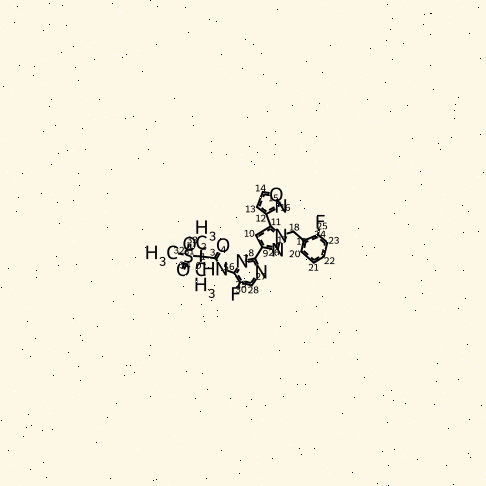 CC(C)(C(=O)Nc1nc(-c2cc(-c3ccon3)n(Cc3ccccc3F)n2)ncc1F)S(C)(=O)=O